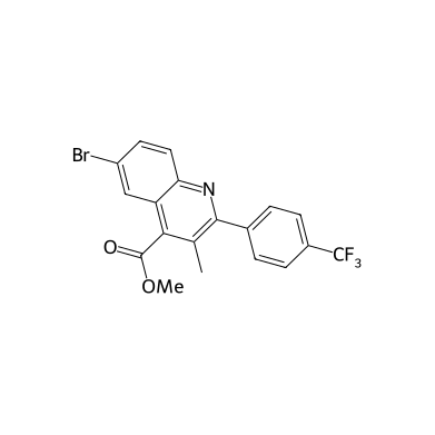 COC(=O)c1c(C)c(-c2ccc(C(F)(F)F)cc2)nc2ccc(Br)cc12